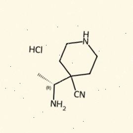 C[C@@H](N)C1(C#N)CCNCC1.Cl